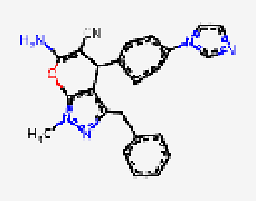 Cn1nc(Cc2ccccc2)c2c1OC(N)=C(C#N)C2c1ccc(-n2ccnc2)cc1